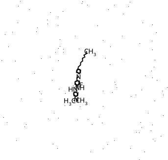 CCCCCCCCCc1ccc(/N=C/c2ccc(NNc3ccc(N(C)C)cc3)c(F)c2)cc1